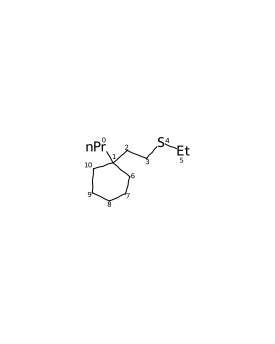 CCCC1(CCSCC)CCCCC1